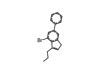 CCCC1=CCc2cc(-c3ccccc3)cc(Br)c21